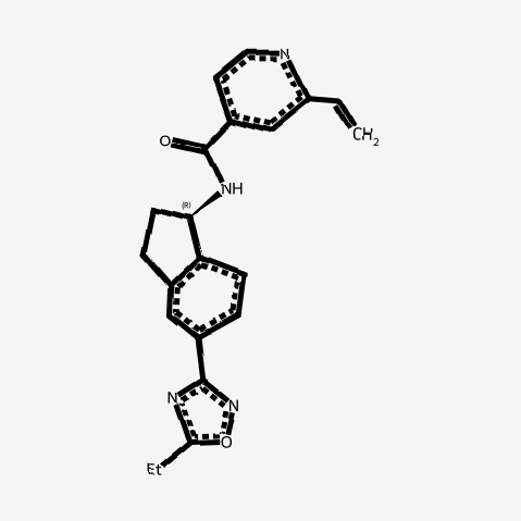 C=Cc1cc(C(=O)N[C@@H]2CCc3cc(-c4noc(CC)n4)ccc32)ccn1